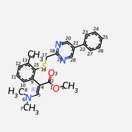 COC(=O)/C(=C/N(C)C)c1cccc(C)c1SCc1ncc(-c2ccccc2)cn1